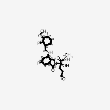 CNC(=O)C(O)(CCC=O)N1Cc2c(NCc3cccc(OC)c3F)cc(F)cc2C1=O